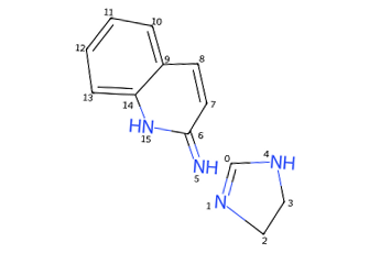 C1=NCCN1.N=c1ccc2ccccc2[nH]1